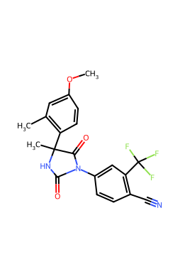 COc1ccc(C2(C)NC(=O)N(c3ccc(C#N)c(C(F)(F)F)c3)C2=O)c(C)c1